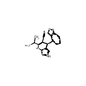 CC(C)C1=C(C#N)C(c2cccc3nocc23)c2c[nH]nc2N1